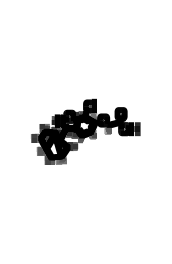 O=C(O)COc1ccc2c(C34CC5CC(CC(C5)C3)C4)noc2c1Cl